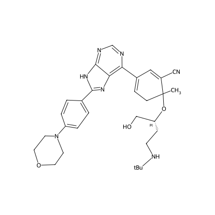 CC(C)(C)NCC[C@H](CO)OC1(C)CC=C(c2ncnc3[nH]c(-c4ccc(N5CCOCC5)cc4)nc23)C=C1C#N